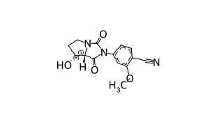 COc1cc(N2C(=O)[C@@H]3[C@H](O)CCN3C2=O)ccc1C#N